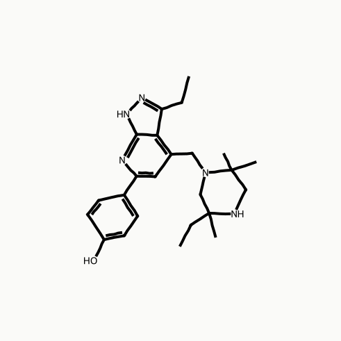 CCc1n[nH]c2nc(-c3ccc(O)cc3)cc(CN3CC(C)(CC)NCC3(C)C)c12